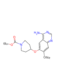 COc1cc2ncnc(N)c2cc1OC1CCN(C(=O)OC(C)(C)C)CC1